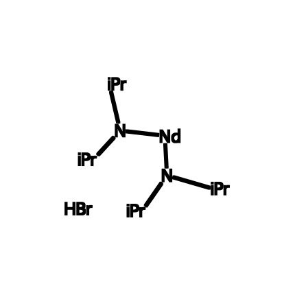 Br.CC(C)[N]([Nd][N](C(C)C)C(C)C)C(C)C